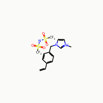 C=Cc1ccc(Cn2cc[n+](C)c2)cc1.O=S(=O)([N-]S(=O)(=O)C(F)(F)F)C(F)(F)F